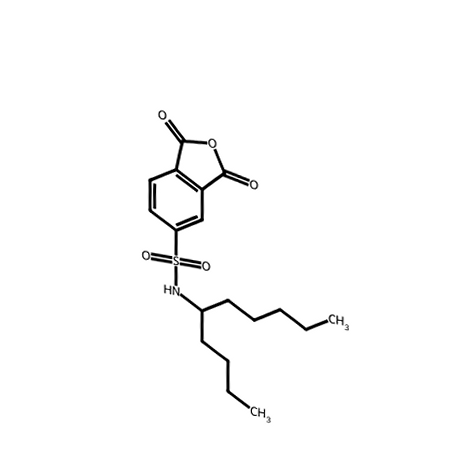 CCCCCC(CCCC)NS(=O)(=O)c1ccc2c(c1)C(=O)OC2=O